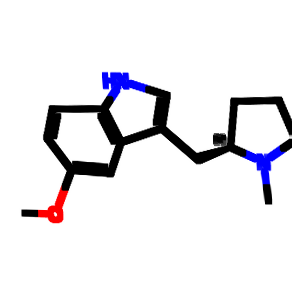 COc1ccc2[nH]cc(C[C@H]3CCCN3C)c2c1